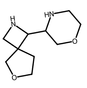 C1COCC(C2NCC23CCOC3)N1